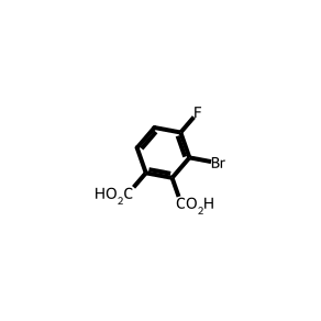 O=C(O)c1ccc(F)c(Br)c1C(=O)O